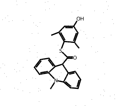 Cc1cc(O)cc(C)c1SC(=O)C1c2ccccc2N(C)c2ccccc21